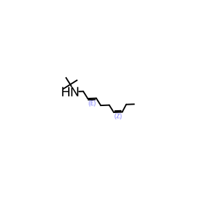 CC/C=C\CC/C=C/CNC(C)(C)C